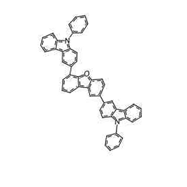 c1ccc(-n2c3ccccc3c3cc(-c4ccc5oc6c(-c7ccc8c(c7)c7ccccc7n8-c7ccccc7)cccc6c5c4)ccc32)cc1